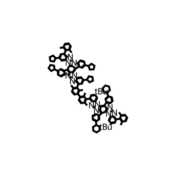 Cc1cccc(C)c1-c1cc(C2CCCC2)cc2c1nc1n2c2c3c4cc(C5CCCC5)ccc4n4c3c(c3c5cc(C6CCCC6)ccc5n1c32)n1c2cc(C3CCCC3)cc(-c3c(C)ccc(-c5ccc(C)c(-c6cc(C(C)(C)C)cc7c6nc6n7c7c8c9cc(C%10CCCCC%10)ccc9n9c8c(c8c%10cc(C%11CCCCC%11)ccc%10n6c87)n6c7cc(C(C)(C)C)cc(-c8c(C)cccc8C)c7nc69)c5C)c3C)c2nc14